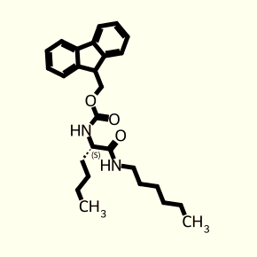 CCCCCCNC(=O)[C@H](CCCC)NC(=O)OCC1c2ccccc2-c2ccccc21